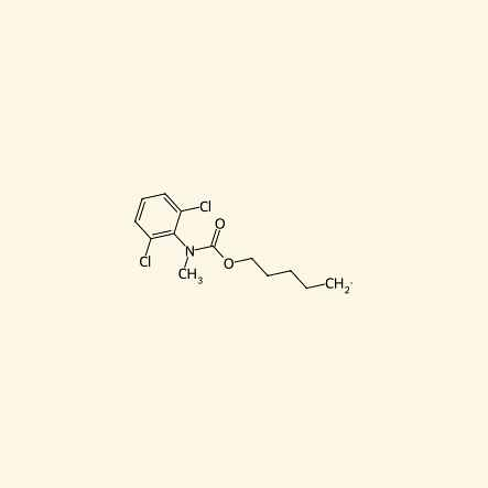 [CH2]CCCCOC(=O)N(C)c1c(Cl)cccc1Cl